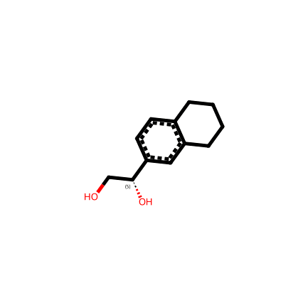 OC[C@@H](O)c1ccc2c(c1)CCCC2